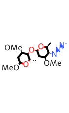 COC1C[C@H](OC)[C@@H](O[C@H]2C[C@H](OC)[C@@H](N=[N+]=[N-])[C@H](C)O2)[C@H](C)O1